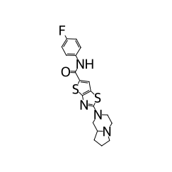 O=C(Nc1ccc(F)cc1)c1cc2sc(N3CCN4CCCC4C3)nc2s1